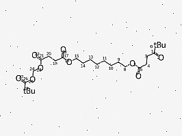 CC(C)(C)C(=O)CCC(=O)OCCCCCCCCOC(=O)CCC(=O)OCOC(=O)C(C)(C)C